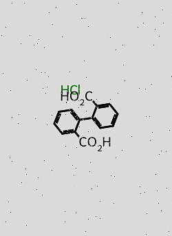 Cl.O=C(O)c1ccccc1-c1ccccc1C(=O)O